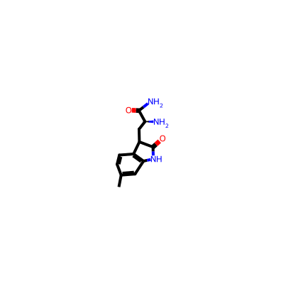 Cc1ccc2c(c1)NC(=O)C2C[C@H](N)C(N)=O